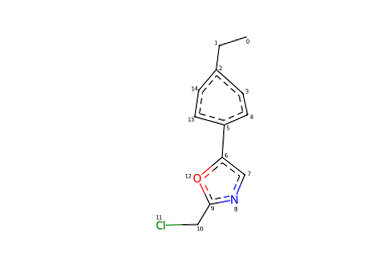 CCc1ccc(-c2cnc(CCl)o2)cc1